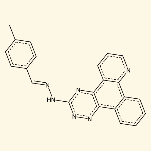 Cc1ccc(/C=N/Nc2nnc3c4ccccc4c4ncccc4c3n2)cc1